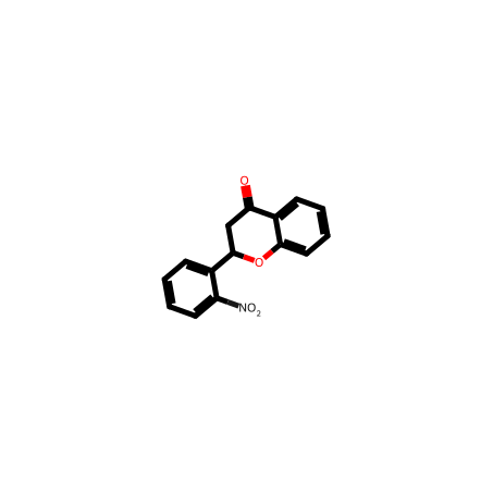 O=C1CC(c2ccccc2[N+](=O)[O-])Oc2ccccc21